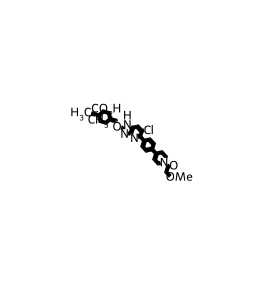 COCC(=O)N1CC=C(c2ccc(-c3nc4nc(OC=C5CCC(C(C)(C)C(=O)O)CC5)[nH]c4cc3Cl)cc2)CC1